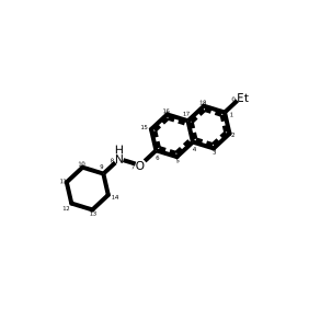 CCc1ccc2cc(ONC3CCCCC3)ccc2c1